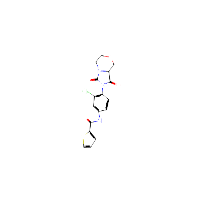 O=C(Nc1ccc(N2C(=O)C3COCCN3C2=O)c(Cl)c1)c1cccs1